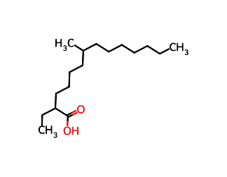 CCCCCCCC(C)CCCCC(CC)C(=O)O